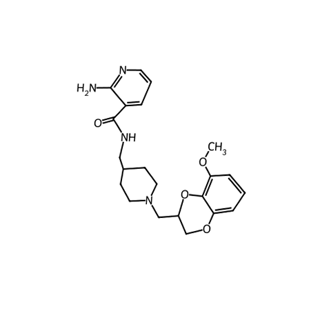 COc1cccc2c1OC(CN1CCC(CNC(=O)c3cccnc3N)CC1)CO2